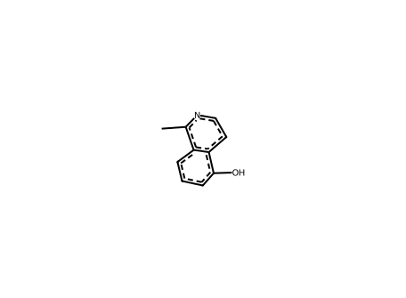 Cc1nccc2c(O)cccc12